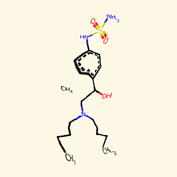 C.CCCCN(CCCC)CC(O)c1ccc(NS(N)(=O)=O)cc1